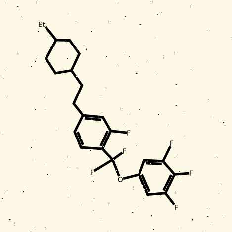 CCC1CCC(CCc2ccc(C(F)(F)Oc3cc(F)c(F)c(F)c3)c(F)c2)CC1